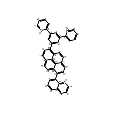 c1ccc(-c2cc(-c3ccccn3)cc(-c3ccc4ccc5c(-c6cccc7cccnc67)ccc6ccc3c4c65)c2)nc1